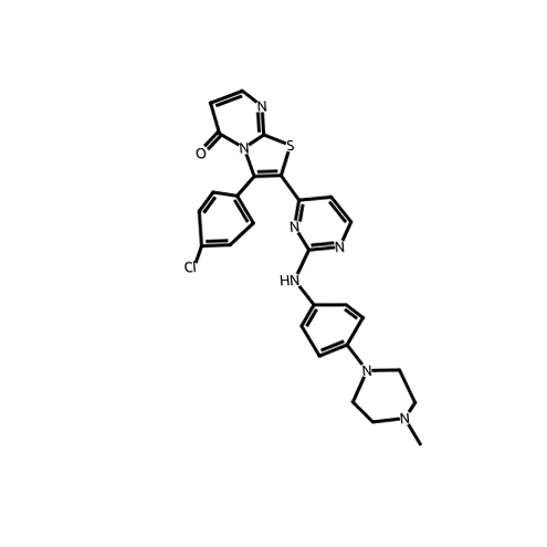 CN1CCN(c2ccc(Nc3nccc(-c4sc5nccc(=O)n5c4-c4ccc(Cl)cc4)n3)cc2)CC1